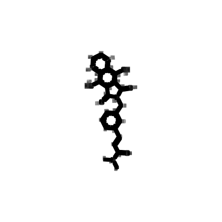 CN(C)C(=O)C=Cc1cccc(CN2C(=O)c3c(c(O)c4nccnc4c3O)C2=O)c1